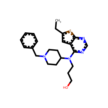 CCc1cc2c(N(CCCO)C3CCN(Cc4ccccc4)CC3)ncnc2s1